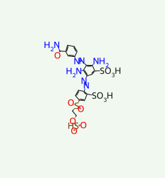 NC(=O)c1cccc(/N=N/c2c(N)c(/N=N/c3ccc(S(=O)(=O)CCO[SH](=O)=O)cc3S(=O)(=O)O)cc(S(=O)(=O)O)c2N)c1